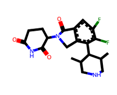 CC1CNCC(C)C1c1c(F)c(F)cc2c1CN(C1CCC(=O)NC1=O)C2=O